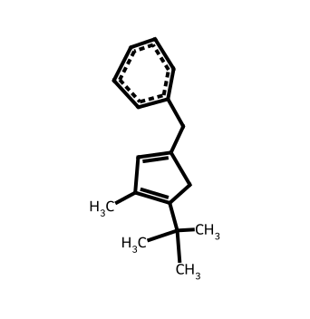 CC1=C(C(C)(C)C)CC(Cc2ccccc2)=C1